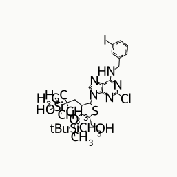 CC(C)(CC1C(O[Si](C)(C)C(C)(C)C)C(CO)SC1n1cnc2c(NCc3cccc(I)c3)nc(Cl)nc21)[Si](C)(C)O